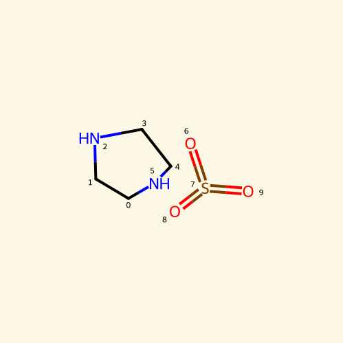 C1CNCCN1.O=S(=O)=O